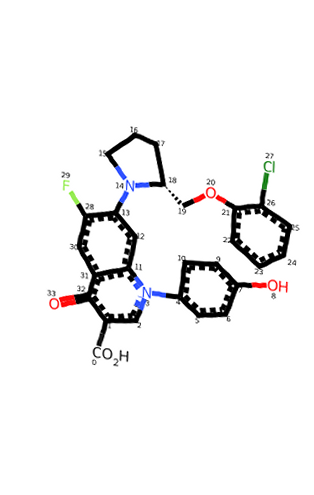 O=C(O)c1cn(-c2ccc(O)cc2)c2cc(N3CCC[C@@H]3COc3ccccc3Cl)c(F)cc2c1=O